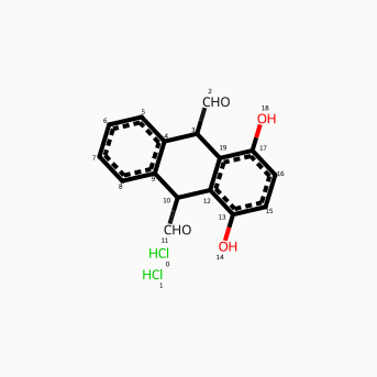 Cl.Cl.O=CC1c2ccccc2C(C=O)c2c(O)ccc(O)c21